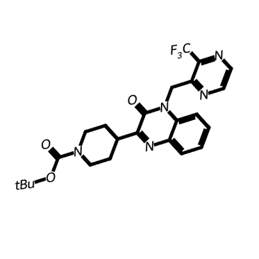 CC(C)(C)OC(=O)N1CCC(c2nc3ccccc3n(Cc3nccnc3C(F)(F)F)c2=O)CC1